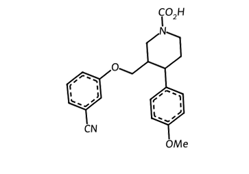 COc1ccc(C2CCN(C(=O)O)CC2COc2cccc(C#N)c2)cc1